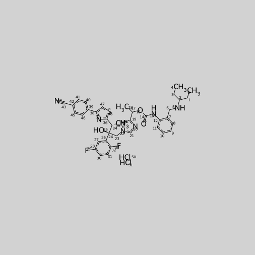 CCC(CC)NCc1ccccc1NC(=O)OC(C)c1ncn(C[C@](O)(c2cc(F)ccc2F)[C@@H](C)c2nc(-c3ccc(C#N)cc3)cs2)n1.Cl.Cl